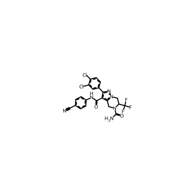 N#Cc1ccc(NC(=O)c2c(-c3ccc(Cl)c(Cl)c3)nn3c2CN(C(N)=O)C(C(F)(F)F)C3)cc1